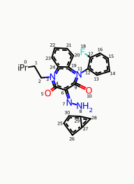 CC(C)CCn1c(=O)c(=NN)c(=O)n(-c2ccccc2F)c2ccccc21.c1cc2cc-2c1